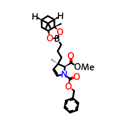 COC(=O)[C@H]1N(C(=O)OCc2ccccc2)C=C[C@@]1(C)CCCB1OC2C[C@@H]3C[C@@H](C3(C)C)[C@]2(C)O1